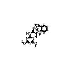 CON=C(Nc1nc(OC)nc(OC)n1)NS(=O)(=O)c1ccccc1Cl